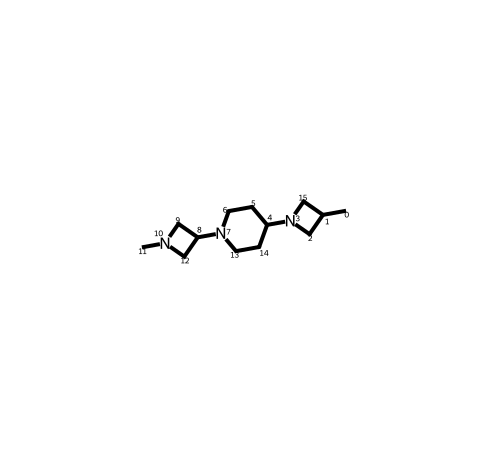 CC1CN(C2CCN(C3CN(C)C3)CC2)C1